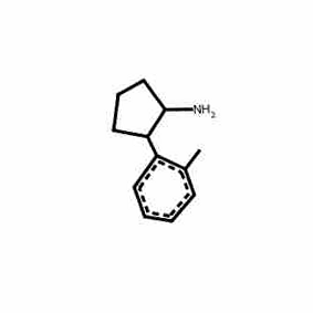 Cc1ccccc1C1CCCC1N